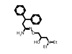 CCN(CC)CC(O)CON=C(N)CC(c1ccccc1)c1ccccc1